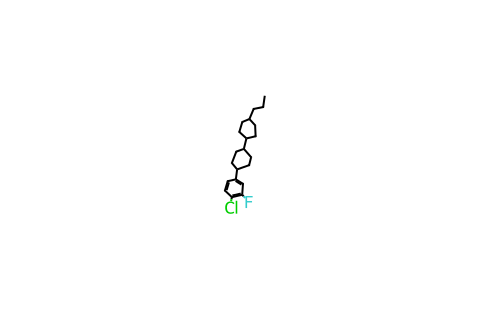 CCCC1CCC(C2CCC(c3ccc(Cl)c(F)c3)CC2)CC1